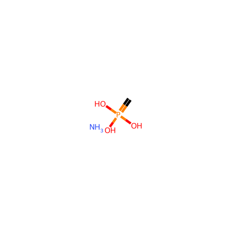 C=P(O)(O)O.N